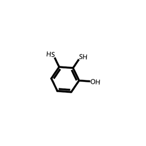 Oc1cccc(S)c1S